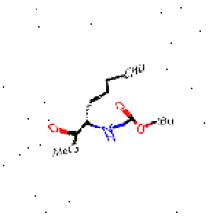 COC(=O)[C@H](CCCC=O)NC(=O)OC(C)(C)C